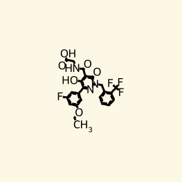 CCOc1cc(F)cc(-c2nn(Cc3ccccc3C(F)(F)F)c(=O)c(C(=O)NCC(=O)O)c2O)c1